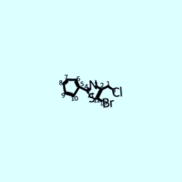 ClCc1nc(-c2ccccc2)sc1Br